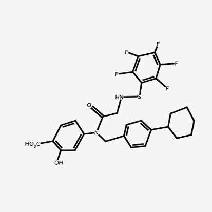 O=C(O)c1ccc(N(Cc2ccc(C3CCCCC3)cc2)C(=O)CNSc2c(F)c(F)c(F)c(F)c2F)cc1O